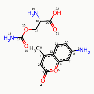 Cc1cc(=O)oc2cc(N)ccc12.NC(=O)OC[C@H](N)C(=O)O